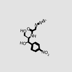 [N-]=[N+]=NCC(=O)N[C@H](CO)[C@H](O)c1ccc([N+](=O)[O-])cc1